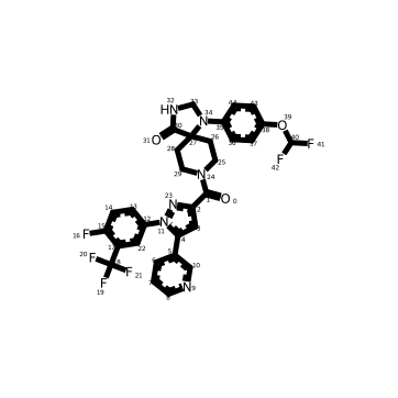 O=C(c1cc(-c2cccnc2)n(-c2ccc(F)c(C(F)(F)F)c2)n1)N1CCC2(CC1)C(=O)NCN2c1ccc(OC(F)F)cc1